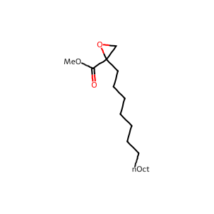 CCCCCCCCCCCCCCCC1(C(=O)OC)CO1